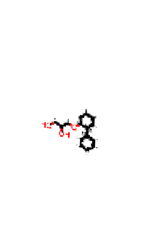 OCC(O)COc1ccccc1-c1ccccc1